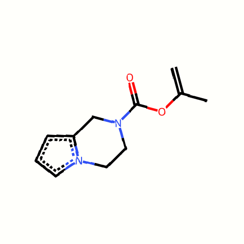 C=C(C)OC(=O)N1CCn2cccc2C1